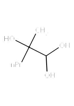 [CH2]C(O)(CCC)C(O)O